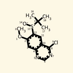 COc1cc2ncnc(Cl)c2cc1[S+]([O-])C(C)(C)C